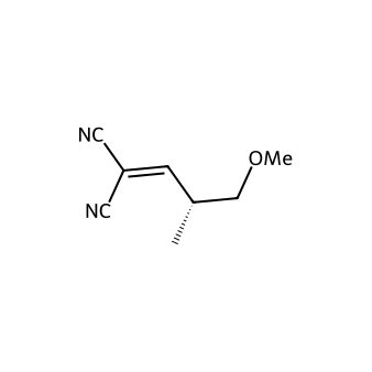 COC[C@H](C)C=C(C#N)C#N